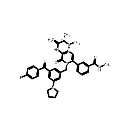 C=C(Nc1ncc(-c2cccc(C(=O)NC)c2)n(Cc2cc(C(=O)c3ccc(F)cc3)cc(N3CCCC3)c2)c1=O)[C@H](C)NC